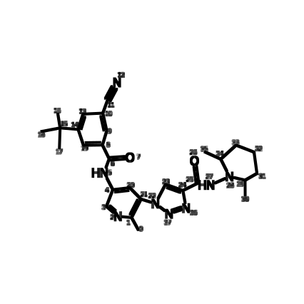 Cc1ncc(NC(=O)c2cc(C#N)cc(C(C)(C)C)c2)cc1-n1cc(C(=O)NN2C(C)CCCC2C)nn1